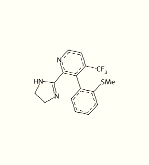 CSc1ccccc1-c1c(C(F)(F)F)ccnc1C1=NCCN1